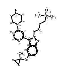 CC1(Oc2ccc3nn(COCC[Si](C)(C)C)c(-c4cc(N5CCNCC5)ncn4)c3c2)CC1